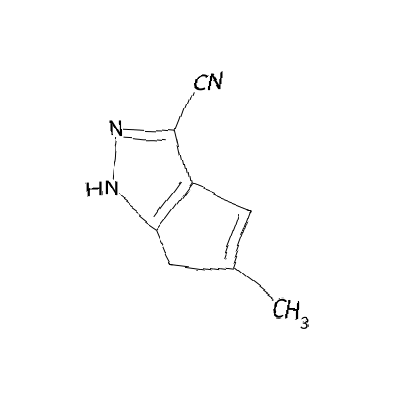 CC1=Cc2c(C#N)n[nH]c2C1